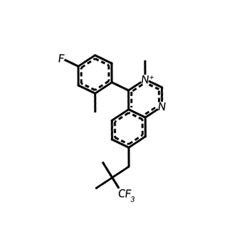 Cc1cc(F)ccc1-c1c2ccc(CC(C)(C)C(F)(F)F)cc2nc[n+]1C